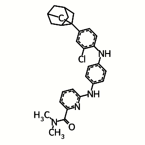 CN(C)C(=O)c1cccc(Nc2ccc(Nc3ccc(C45CC6CC(CC4C6)C5)cc3Cl)cc2)n1